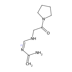 C=C(N)/N=C\NCC(=O)N1CCCC1